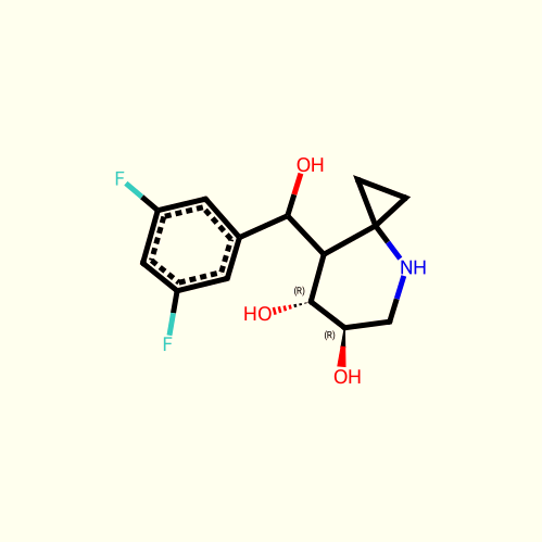 OC(c1cc(F)cc(F)c1)C1[C@@H](O)[C@H](O)CNC12CC2